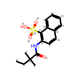 CCC(C)(C)C(=O)Nc1ccc2ccccc2c1S(=O)(=O)O